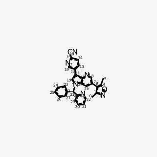 Cc1noc(C)c1-c1cnc2c(-c3ccc(C#N)nc3)cn([C@H](c3ccccc3)c3ccccn3)c2c1